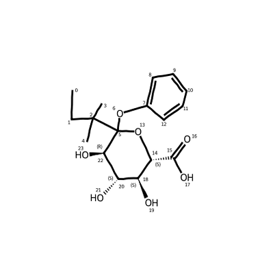 CCC(C)(C)C1(Oc2ccccc2)O[C@H](C(=O)O)[C@@H](O)[C@H](O)[C@H]1O